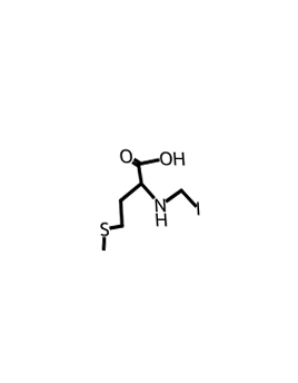 CSCCC(NCI)C(=O)O